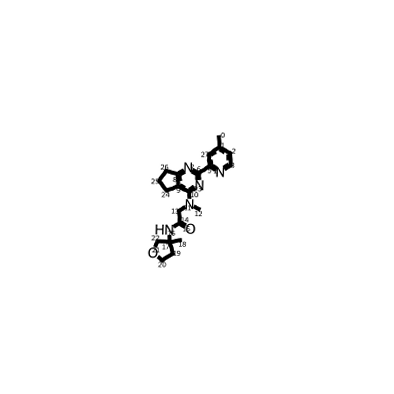 Cc1ccnc(-c2nc3c(c(N(C)CC(=O)NC4(C)CCOC4)n2)CCC3)c1